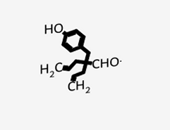 C=CCC([C]=O)(CC=C)Cc1ccc(O)cc1